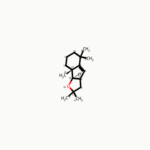 CC1(C)CC2C=C3C(C)(C)CCC[C@@]3(C)[C@@H]2O1